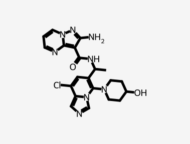 CC(NC(=O)c1c(N)nn2cccnc12)c1cc(Cl)c2cncn2c1N1CCC(O)CC1